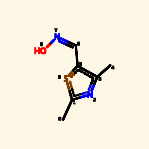 Cc1nc(C)c(/C=N\O)s1